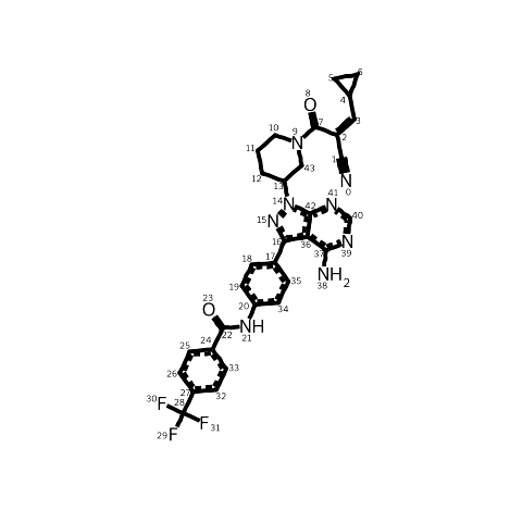 N#C/C(=C/C1CC1)C(=O)N1CCCC(n2nc(-c3ccc(NC(=O)c4ccc(C(F)(F)F)cc4)cc3)c3c(N)ncnc32)C1